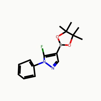 CC1(C)OB(c2cnn(-c3ccccc3)c2F)OC1(C)C